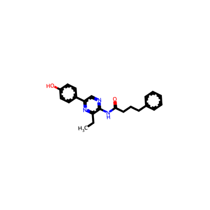 CCc1nc(-c2ccc(O)cc2)cnc1NC(=O)CCCc1ccccc1